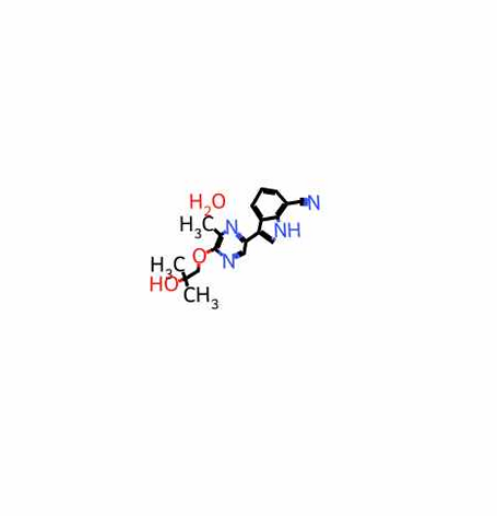 Cc1nc(-c2c[nH]c3c(C#N)cccc23)cnc1OCC(C)(C)O.O